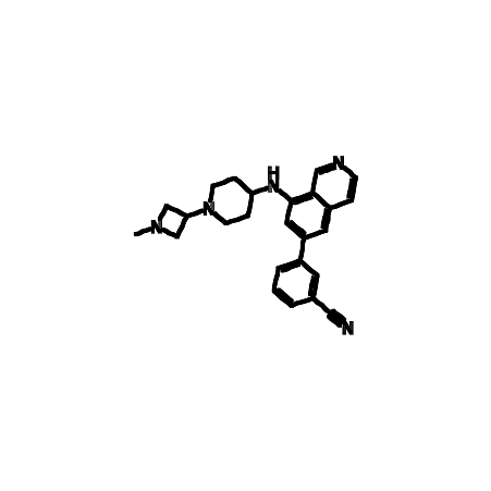 CN1CC(N2CCC(Nc3cc(-c4cccc(C#N)c4)cc4ccncc34)CC2)C1